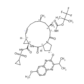 COc1ccc2nc(C(C)C)c(O[C@@H]3C[C@H]4C(=O)N[C@]5(C(=O)NS(=O)(=O)C6CC6)C[C@H]5/C=C\CC[C@@H](C)C[C@@H](C)[C@H](NC(=O)OC(C)(C)C(F)(F)F)C(=O)N4C3)nc2c1